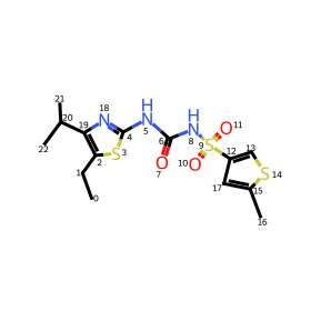 CCc1sc(NC(=O)NS(=O)(=O)c2csc(C)c2)nc1C(C)C